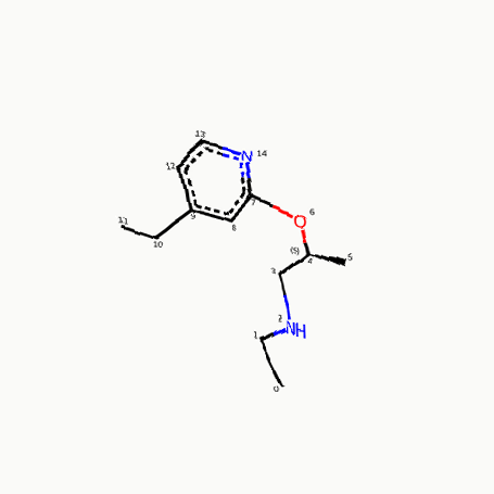 CCNC[C@H](C)Oc1cc(CC)ccn1